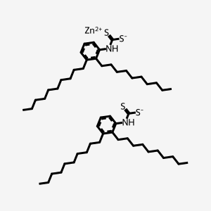 CCCCCCCCCCc1cccc(NC(=S)[S-])c1CCCCCCCCCC.CCCCCCCCCCc1cccc(NC(=S)[S-])c1CCCCCCCCCC.[Zn+2]